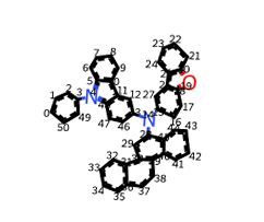 c1ccc(-n2c3ccccc3c3cc(N(c4ccc5oc6ccccc6c5c4)c4cc5c6ccccc6ccc5c5ccccc45)ccc32)cc1